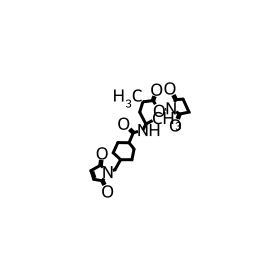 CC(CC(C)C(=O)ON1C(=O)CCC1=O)NC(=O)C1CCC(CN2C(=O)C=CC2=O)CC1